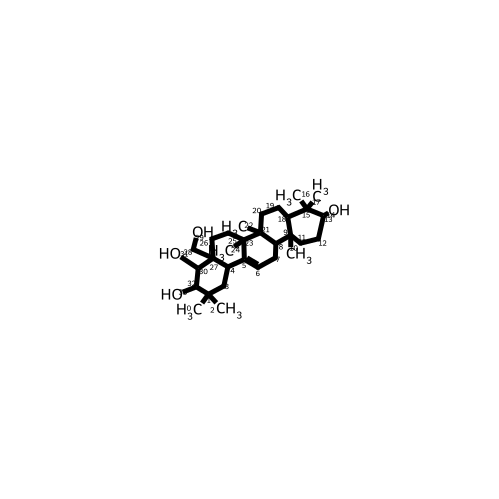 CC1(C)CC2C3=CCC4C5(C)CCC(O)C(C)(C)C5CCC4(C)C3(C)CCC2(CO)C(O)C1O